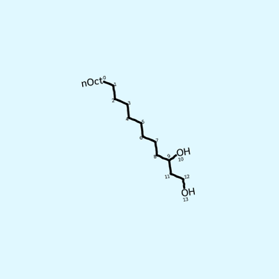 CCCCCCCCCCCCCCCCC(O)CCO